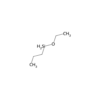 CCC[SiH2]OCC